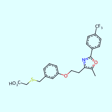 Cc1oc(-c2ccc(C(F)(F)F)cc2)nc1CCOc1cccc(CSCC(=O)O)c1